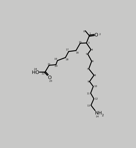 CC(=O)C(CCCCCCCCCCN)CCCCCCCC(=O)O